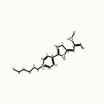 C/C=C(\C=C1/CN=C(c2cc[n+](CCCCCC)cc2)O1)OC